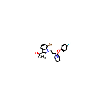 CC(=O)c1cn(CCCN2C3CCC2C(Oc2ccc(F)cc2)C3)c2c(Br)cccc12